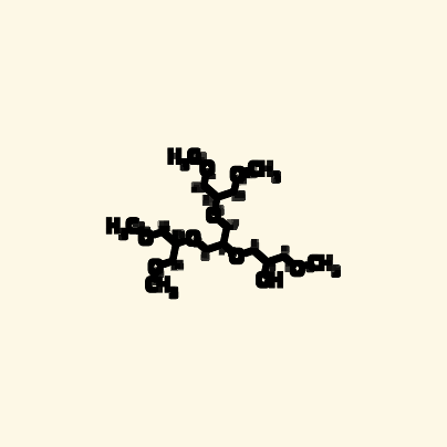 COCC(O)COC(COC(COC)COC)COC(COC)COC